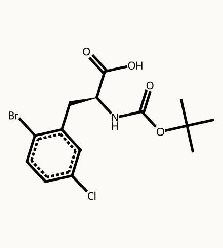 CC(C)(C)OC(=O)N[C@@H](Cc1cc(Cl)ccc1Br)C(=O)O